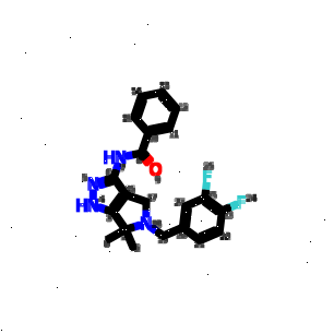 CC1(C)c2[nH]nc(NC(=O)c3ccccc3)c2CN1Cc1ccc(F)c(F)c1